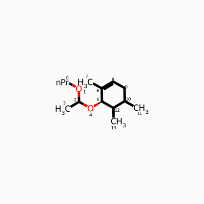 CCCOC(C)O[C@H]1C(C)=CCC(C)C1C